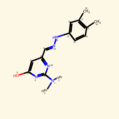 CCCN(CCC)c1nc(O)cc(/C=N/Nc2ccc(C)c(C)c2)n1